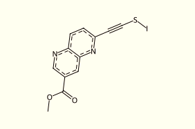 COC(=O)c1cnc2ccc(C#CSI)nc2c1